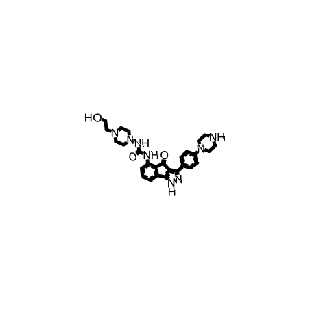 O=C(Nc1cccc2c1C(=O)c1c(-c3ccc(N4CCNCC4)cc3)n[nH]c1-2)NN1CCN(CCO)CC1